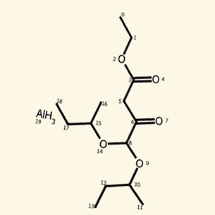 CCOC(=O)CC(=O)C(OC(C)CC)OC(C)CC.[AlH3]